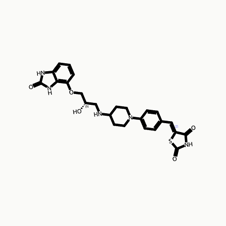 O=C1NC(=O)/C(=C/c2ccc(N3CCC(NC[C@H](O)COc4cccc5[nH]c(=O)[nH]c45)CC3)cc2)S1